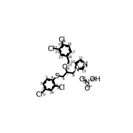 Clc1ccc(SCC(Cn2ccnc2)OCc2ccc(Cl)c(Cl)c2)c(Cl)c1.O=[N+]([O-])O